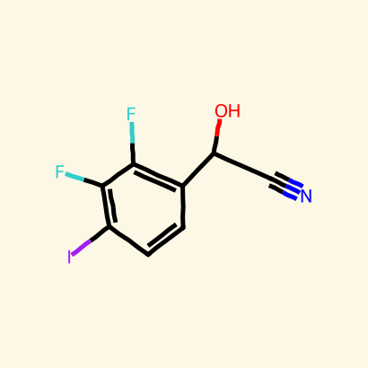 N#CC(O)c1ccc(I)c(F)c1F